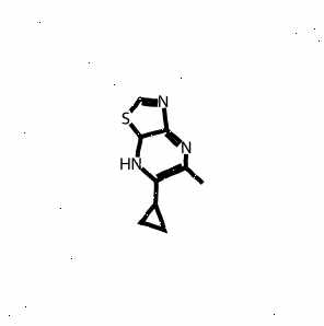 CC1=C(C2CC2)NC2SC=NC2=N1